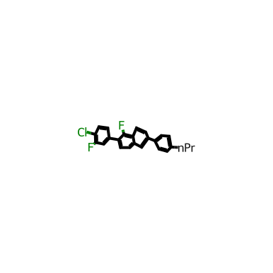 CCCc1ccc(-c2ccc3c(F)c(-c4ccc(Cl)c(F)c4)ccc3c2)cc1